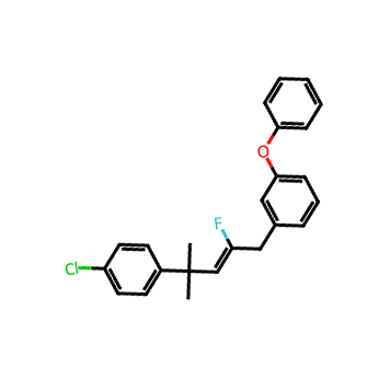 CC(C)(/C=C(\F)Cc1cccc(Oc2ccccc2)c1)c1ccc(Cl)cc1